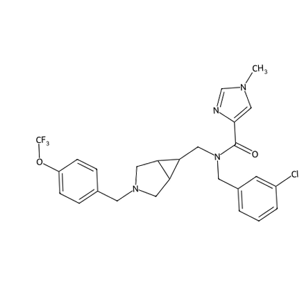 Cn1cnc(C(=O)N(Cc2cccc(Cl)c2)CC2C3CN(Cc4ccc(OC(F)(F)F)cc4)CC32)c1